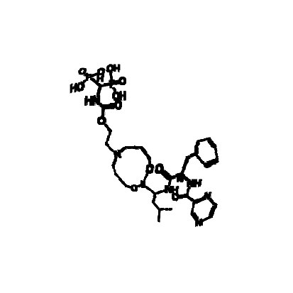 CC(C)CC(NC(=O)[C@@H](Cc1ccccc1)NC(=O)c1cnccn1)B1OCCCN(CCOC(=O)NC(P(=O)(O)O)P(=O)(O)O)CCCO1